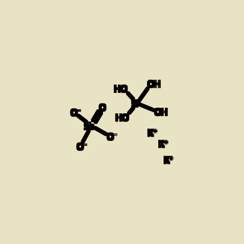 O[Si](O)(O)O.[K+].[K+].[K+].[O]=[Sb]([O-])([O-])[O-]